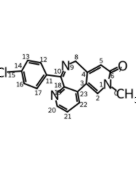 Cn1cc2c(cc1=O)CN=C(c1ccc(Cl)cc1)c1ncccc1-2